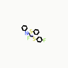 FC(=C\Sc1ccc(F)cc1)/C(=N/c1ccccc1)Sc1ccccc1